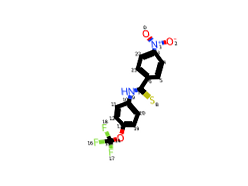 O=[N+]([O-])c1ccc(C(=S)Nc2ccc(OC(F)(F)F)cc2)cc1